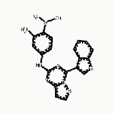 CN(C)c1ccc(Nc2nc(-c3csc4ccccc34)n3nccc3n2)cc1N